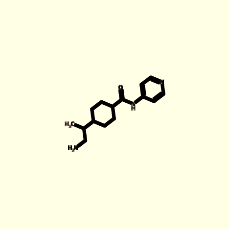 CC(CN)C1CCC(C(=O)Nc2ccncc2)CC1